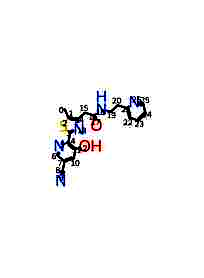 Cc1sc(-c2ncc(C#N)cc2O)nc1CC(=O)NCCc1ccccn1